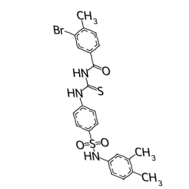 Cc1ccc(NS(=O)(=O)c2ccc(NC(=S)NC(=O)c3ccc(C)c(Br)c3)cc2)cc1C